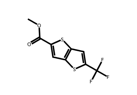 COC(=O)c1cc2sc(C(F)(F)F)cc2s1